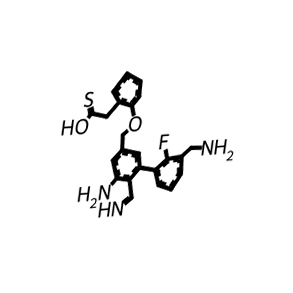 N=Cc1c(N)cc(COc2ccccc2CC(O)=S)cc1-c1cccc(CN)c1F